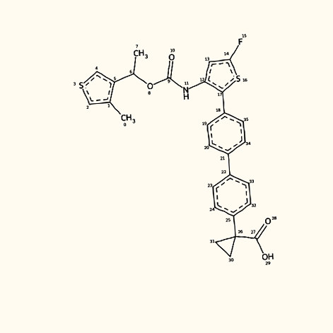 Cc1cscc1C(C)OC(=O)Nc1cc(F)sc1-c1ccc(-c2ccc(C3(C(=O)O)CC3)cc2)cc1